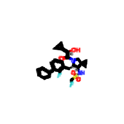 O=C([C@H](O)C1CC1)N1CC2(CC2)[C@H](NS(=O)(=O)CF)[C@@H]1Cc1cccc(-c2ccccc2)c1F